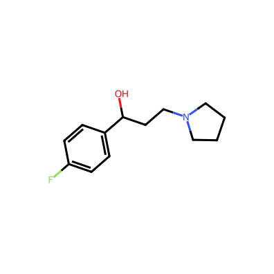 OC(CCN1CCCC1)c1ccc(F)cc1